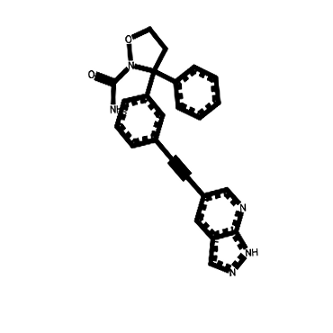 NC(=O)N1OCCC1(c1ccccc1)c1cccc(C#Cc2cnc3[nH]ncc3c2)c1